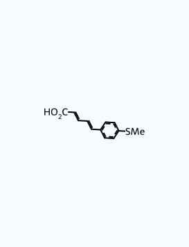 CSc1ccc(C=CC=CC(=O)O)cc1